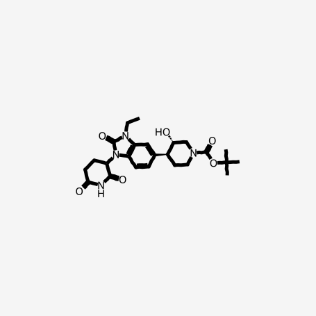 CCn1c(=O)n(C2CCC(=O)NC2=O)c2ccc([C@@H]3CCN(C(=O)OC(C)(C)C)C[C@H]3O)cc21